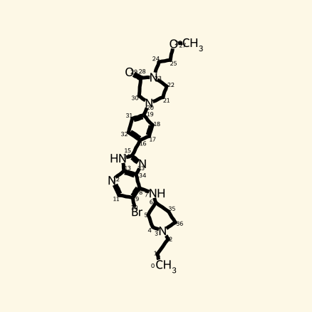 CCCN1CCC(Nc2c(Br)cnc3[nH]c(-c4ccc(N5CCN(CCOC)C(=O)C5)cc4)nc23)CC1